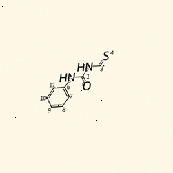 O=C(N[C]=S)Nc1ccccc1